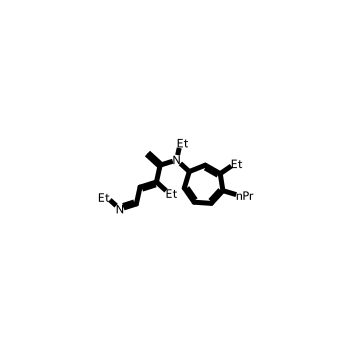 C=C(/C(=C/C=N\CC)CC)N(CC)C1C=CC=C(CCC)C(CC)=C1